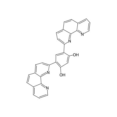 Oc1cc(O)c(-c2ccc3ccc4cccnc4c3n2)cc1-c1ccc2ccc3cccnc3c2n1